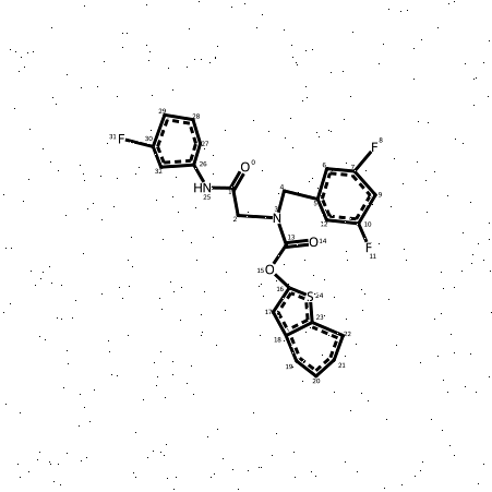 O=C(CN(Cc1cc(F)cc(F)c1)C(=O)Oc1cc2ccccc2s1)Nc1cccc(F)c1